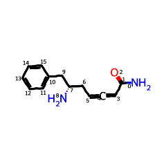 NC(=O)C=C=CC[C@H](N)Cc1ccccc1